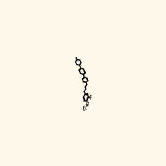 CCOc1ccc(CCCCc2ccc(C3C=CC(C4CCC(C)CC4)CC3)cc2)cc1F